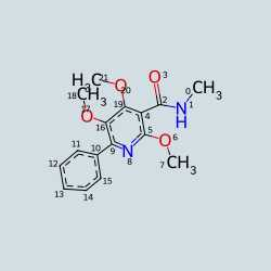 CNC(=O)c1c(OC)nc(-c2ccccc2)c(OC)c1OC